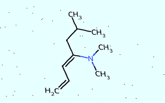 C=C/C=C(/CC(C)C)N(C)C